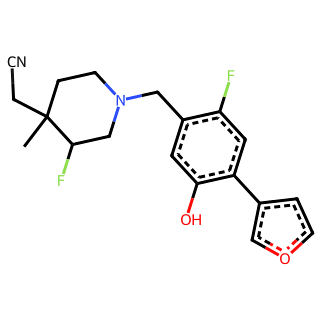 CC1(CC#N)CCN(Cc2cc(O)c(-c3ccoc3)cc2F)CC1F